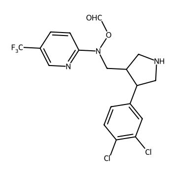 O=CON(CC1CNCC1c1ccc(Cl)c(Cl)c1)c1ccc(C(F)(F)F)cn1